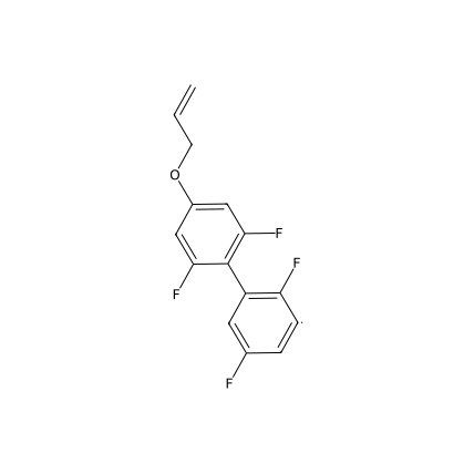 C=CCOc1cc(F)c(-c2cc(F)c[c]c2F)c(F)c1